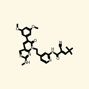 CNc1ncc2cc(-c3cc(OC)cc(OC)c3)c(=O)n(CCc3ccnc(NC(=O)C(C#N)=CC(C)(C)C)c3)c2n1